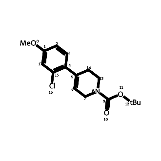 COc1ccc(C2=CCN(C(=O)OC(C)(C)C)CC2)c(Cl)c1